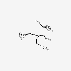 CCBr.CCN(CC)CC